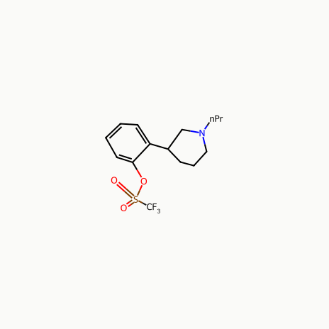 CCCN1CCCC(c2ccccc2OS(=O)(=O)C(F)(F)F)C1